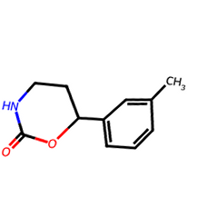 Cc1cccc(C2CCNC(=O)O2)c1